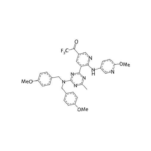 COc1ccc(CN(Cc2ccc(OC)cc2)c2nc(C)nc(-c3cc(C(=O)C(F)(F)F)cnc3Nc3ccc(OC)nc3)n2)cc1